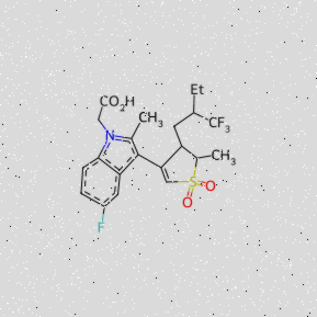 CCC(CC1C(c2c(C)n(CC(=O)O)c3ccc(F)cc23)=CS(=O)(=O)C1C)C(F)(F)F